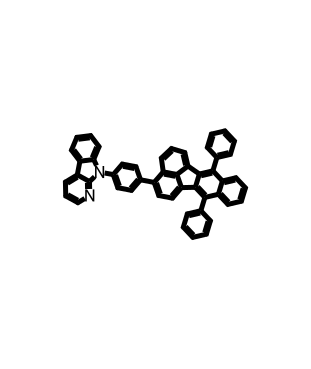 c1ccc(-c2c3c(c(-c4ccccc4)c4ccccc24)-c2ccc(-c4ccc(-n5c6ccccc6c6cccnc65)cc4)c4cccc-3c24)cc1